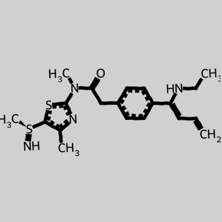 C=C/C=C(\NCC)c1ccc(CC(=O)N(C)c2nc(C)c([S@](C)=N)s2)cc1